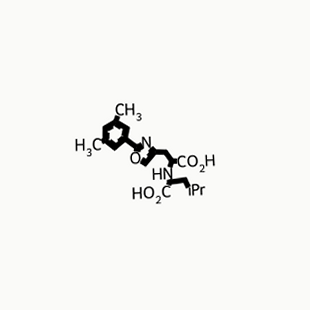 Cc1cc(C)cc(-c2nc(CC(NC(CC(C)C)C(=O)O)C(=O)O)co2)c1